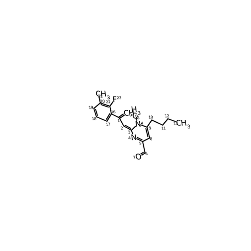 C=C(/C=C1/N=C(C=O)C=C(CCCC)N1C)c1cccc(C)c1F